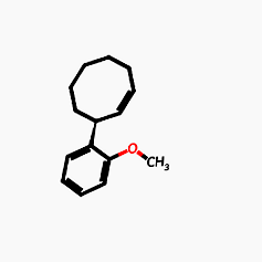 COc1ccccc1[C@@H]1C=CCCCCC1